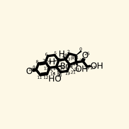 C[C@@H]1C[C@H]2[C@@H]3CCC4=CC(=O)C=C[C@]4(C)[C@@]3(Br)[C@@H](O)C[C@]2(C)[C@@]1(O)C(=O)CO